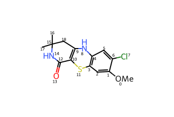 COc1cc2c(cc1Cl)NC1=C(S2)C(=O)NC(C)(C)C1